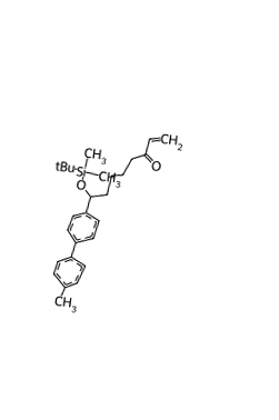 C=CC(=O)CCCCC(O[Si](C)(C)C(C)(C)C)c1ccc(-c2ccc(C)cc2)cc1